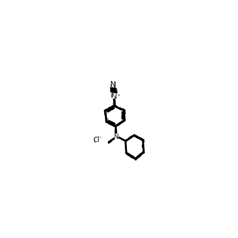 CN(c1ccc([N+]#N)cc1)C1CCCCC1.[Cl-]